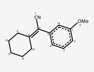 COc1cccc(C(C#N)=C2CCCCC2)c1